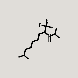 CC(C)CCCCCC(NC(C)C)C(F)(F)F